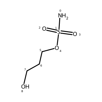 NS(=O)(=O)OCCCO